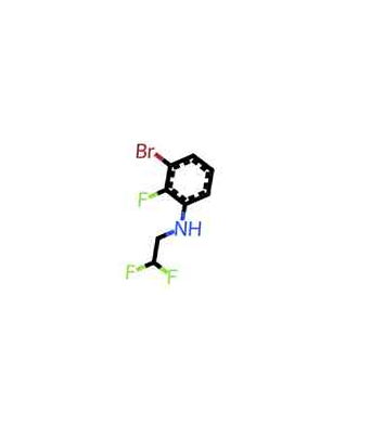 Fc1c(Br)cccc1NCC(F)F